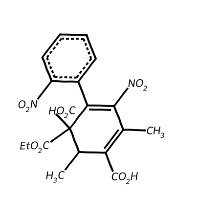 CCOC(=O)C1(C(=O)O)C(c2ccccc2[N+](=O)[O-])=C([N+](=O)[O-])C(C)=C(C(=O)O)C1C